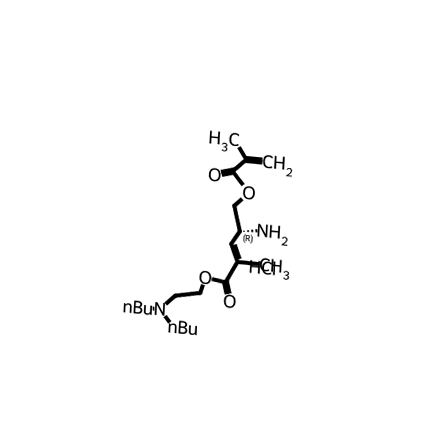 C=C(C)C(=O)OC[C@H](N)C=C(C)C(=O)OCCN(CCCC)CCCC.Cl